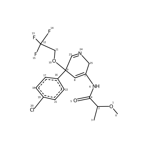 COC(C)C(=O)NC1=CC(OCC(F)(F)F)(c2ccc(Cl)cc2)C=NC1